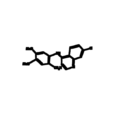 COc1cc(Nc2ccnc3cc(Cl)ccc23)c(C(=O)O)cc1OC